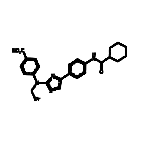 CC(C)CN(c1ccc(C(=O)O)cc1)c1nc(-c2ccc(NC(=O)C3CCCCC3)cc2)cs1